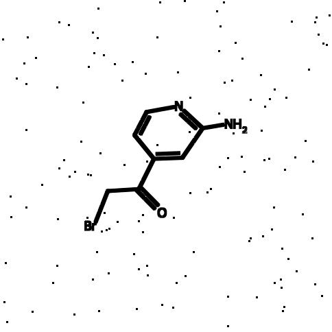 Nc1cc(C(=O)CBr)ccn1